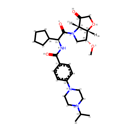 CO[C@@H]1CN(C(=O)[C@@H](NC(=O)c2ccc(N3CCN(C(C)C)CC3)cc2)C2CCCC2)[C@@H]2C(=O)CO[C@@H]21